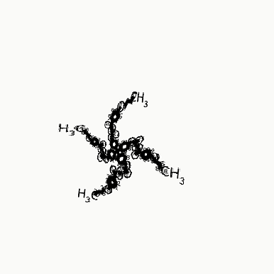 CCCCOc1ccc(C(=O)OOC(=O)OC2CCC(C(C3CCC(OC(=O)OOC(=O)c4ccc(OCCCC)cc4)CC3)(C3CCC(OC(=O)OOC(=O)c4ccc(OCCCC)cc4)CC3)C3CCC(OC(=O)OOC(=O)c4ccc(OCCCC)cc4)CC3)CC2)cc1